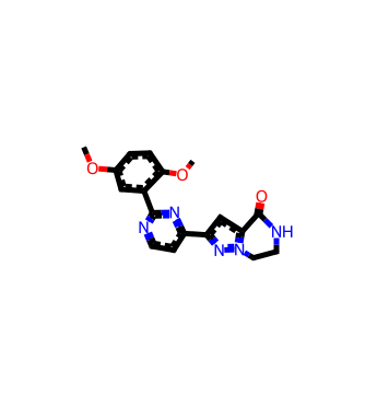 COc1ccc(OC)c(-c2nccc(-c3cc4n(n3)CCNC4=O)n2)c1